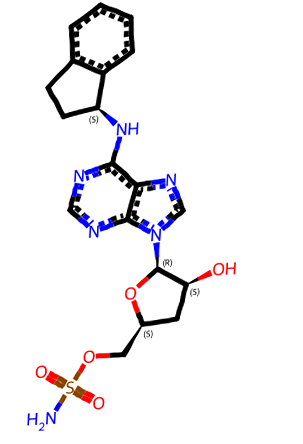 NS(=O)(=O)OC[C@@H]1C[C@H](O)[C@H](n2cnc3c(N[C@H]4CCc5ccccc54)ncnc32)O1